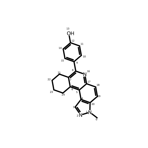 Cn1ncc2c3c4c(c(-c5ccc(O)cc5)nc3ccc21)CCCC4